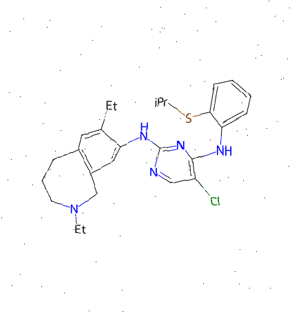 CCc1cc2c(cc1Nc1ncc(Cl)c(Nc3ccccc3SC(C)C)n1)CN(CC)CCC2